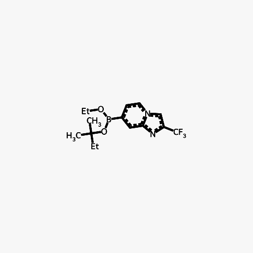 CCOB(OC(C)(C)CC)c1ccn2cc(C(F)(F)F)nc2c1